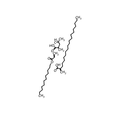 C=C(CC(C)C)C(=O)O.C=C(CCCCCCCCCCCCCCCCCC)C(=O)O.C=CC(=O)OCCCCCCCCCCCC